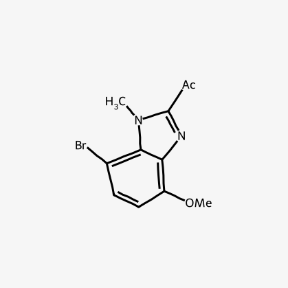 COc1ccc(Br)c2c1nc(C(C)=O)n2C